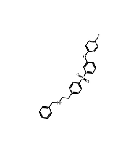 O=S(=O)(c1ccc(CCNCc2ccccc2)cc1)c1cccc(Oc2ccc(F)cc2)c1